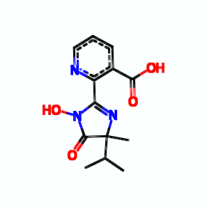 CC(C)C1(C)N=C(c2ncccc2C(=O)O)N(O)C1=O